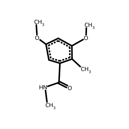 CNC(=O)c1cc(OC)cc(OC)c1C